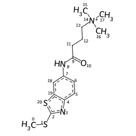 CSc1nc2ccc(NC(=O)CCC[N+](C)(C)C)cc2s1